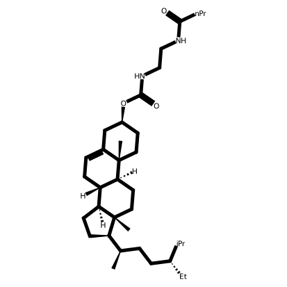 CCCC(=O)NCCNC(=O)O[C@H]1CC[C@@]2(C)C(=CC[C@H]3[C@@H]4CC[C@H]([C@H](C)CC[C@@H](CC)C(C)C)[C@@]4(C)CC[C@@H]32)C1